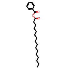 CCCCCCCCCCCCCCCC(=O)OC(=O)c1ccccc1